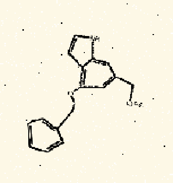 CC(=O)OCc1cc(OCc2ccccc2)c2cc[nH]c2c1